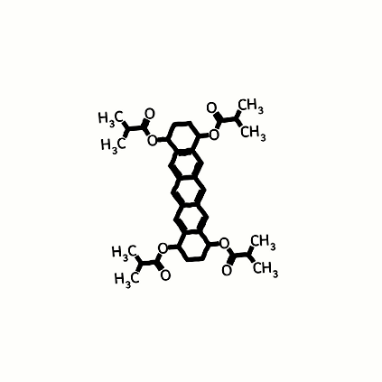 CC(C)C(=O)OC1CCC(OC(=O)C(C)C)c2cc3cc4cc5c(cc4cc3cc21)C(OC(=O)C(C)C)CCC5OC(=O)C(C)C